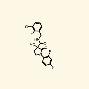 O=C(NCc1cccc(Cl)c1F)[C@@]1(O)CCN(c2ccc(F)cc2F)C1=O